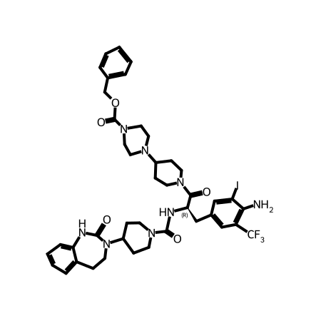 Nc1c(I)cc(C[C@@H](NC(=O)N2CCC(N3CCc4ccccc4NC3=O)CC2)C(=O)N2CCC(N3CCN(C(=O)OCc4ccccc4)CC3)CC2)cc1C(F)(F)F